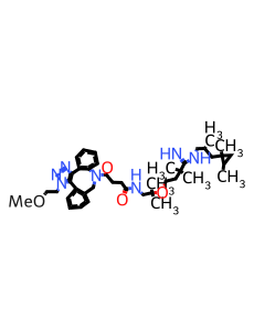 COCCn1nnc2c1-c1ccccc1CN(C(=O)CCC(=O)NCC(C)(C)OCCC(C)(C)C(=N)NCC(C)CC1(C)CC1C)c1ccccc1-2